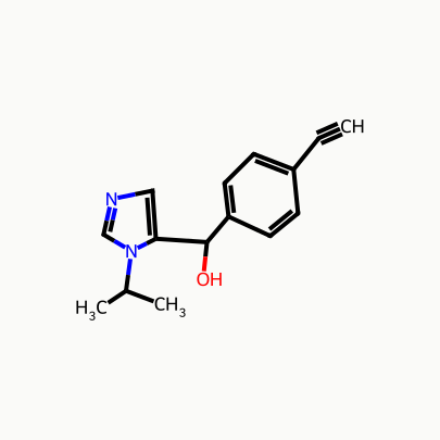 C#Cc1ccc(C(O)c2cncn2C(C)C)cc1